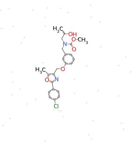 C=C(O)CN(Cc1cccc(OCc2nc(-c3ccc(Cl)cc3)oc2C)c1)C(=O)OC